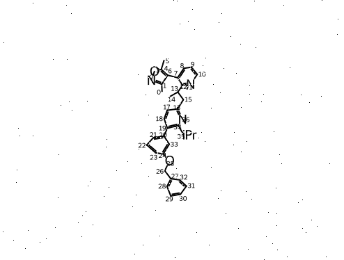 Cc1noc(C)c1-c1cccnc1C(C)Cc1ccc(-c2cccc(OCc3ccccc3)c2)c(C(C)C)n1